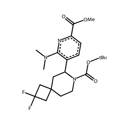 COC(=O)c1ccc(C2CC3(CCN2C(=O)OC(C)(C)C)CC(F)(F)C3)c(N(C)C)n1